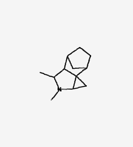 CC1C2C3CCC(C3)C23CC3N1C